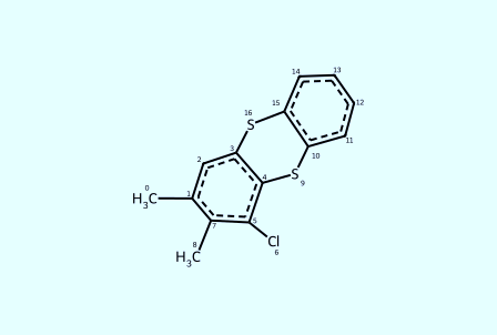 Cc1cc2c(c(Cl)c1C)Sc1ccccc1S2